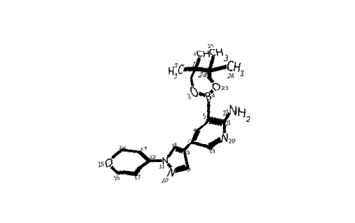 CC1(C)OB(c2cc(-c3cnn(C4CCOCC4)c3)cnc2N)OC1(C)C